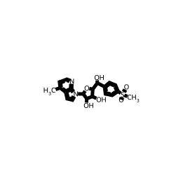 Cc1ccnc2c1ccn2C1OC(C(O)c2ccc(S(C)(=O)=O)cc2)C(O)C1O